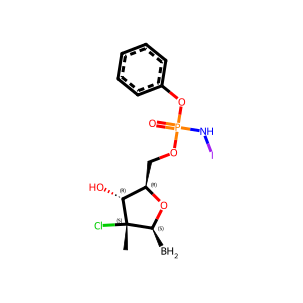 B[C@@H]1O[C@H](COP(=O)(NI)Oc2ccccc2)[C@@H](O)[C@@]1(C)Cl